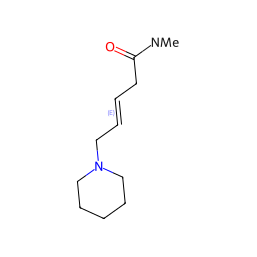 CNC(=O)C/C=C/CN1CCCCC1